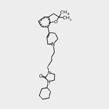 CC1(C)Cc2cccc(C3=CCN(CCCCN4CCN(C5CCCCC5)C4=O)CC3)c2O1